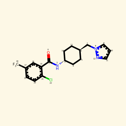 O=C(N[C@H]1CC[C@H](Cn2cccn2)CC1)c1cc(C(F)(F)F)ccc1Cl